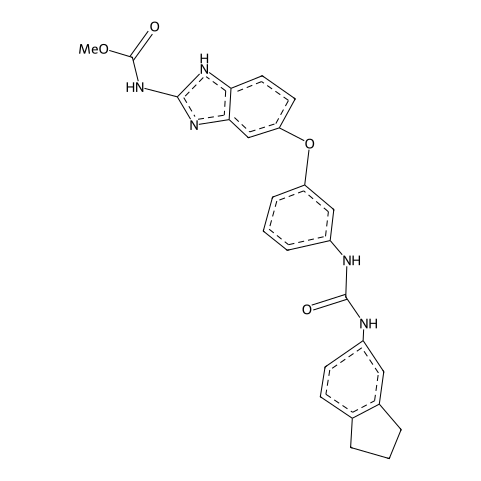 COC(=O)Nc1nc2cc(Oc3cccc(NC(=O)Nc4ccc5c(c4)CCC5)c3)ccc2[nH]1